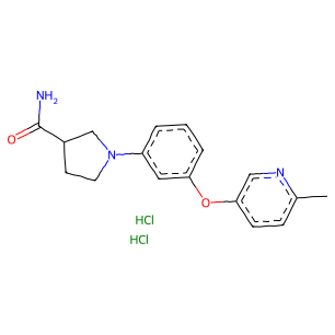 Cc1ccc(Oc2cccc(N3CCC(C(N)=O)C3)c2)cn1.Cl.Cl